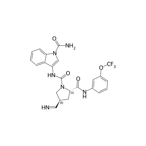 N=C[C@@H]1C[C@@H](C(=O)Nc2cccc(OC(F)(F)F)c2)N(C(=O)Nc2cn(C(N)=O)c3ccccc23)C1